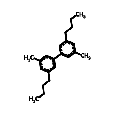 CCCCc1cc(C)cc(-c2cc(C)cc(CCCC)c2)c1